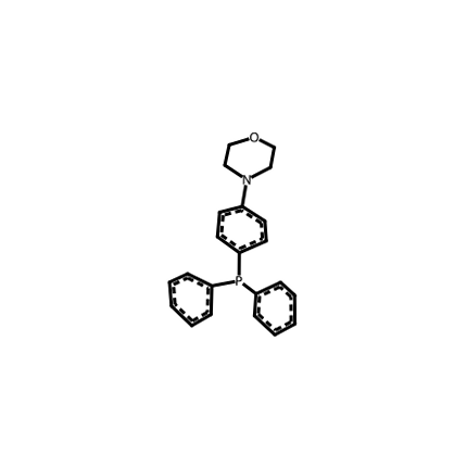 c1ccc(P(c2ccccc2)c2ccc(N3CCOCC3)cc2)cc1